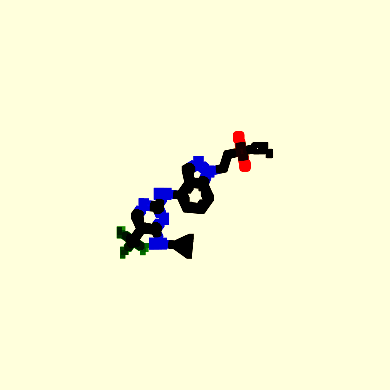 CS(=O)(=O)CCn1ncc2c(Nc3ncc(C(F)(F)F)c(NC4CC4)n3)cccc21